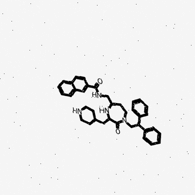 O=C(NCC1CCN(CC(c2ccccc2)c2ccccc2)C(=O)C(CC2CCNCC2)N1)c1ccc2ccccc2c1